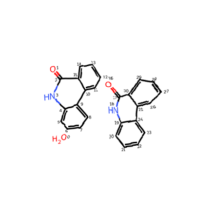 O.O=c1[nH]c2ccccc2c2ccccc12.O=c1[nH]c2ccccc2c2ccccc12